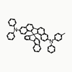 Cc1ccc(N(c2ccccc2)c2ccc3c4c(ccc3c2)-c2ccc3cc(N(c5ccccc5)c5ccccc5)ccc3c2C42c3ccccc3-c3c2ccc2ccccc32)cc1